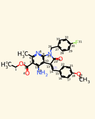 CCOC(=O)c1c(C)nc2c(c1N)/C(=C/c1ccc(OC)cc1)C(=O)N2Cc1ccc(F)cc1